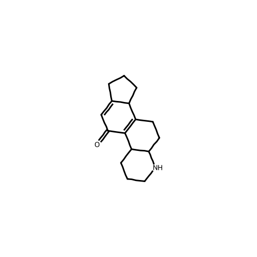 O=C1C=C2CCCC2C2=C1C1CCCNC1CC2